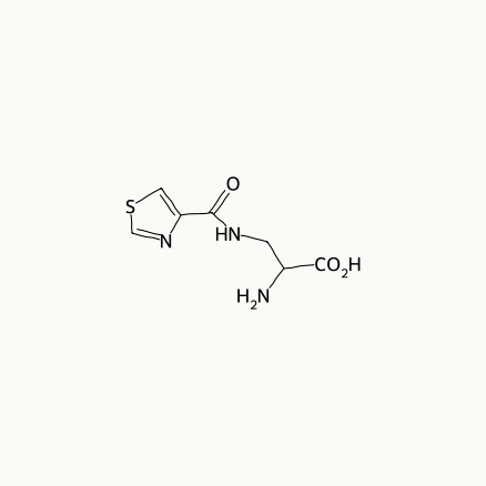 NC(CNC(=O)c1cscn1)C(=O)O